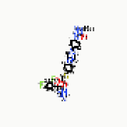 CCC(C)n1ncn(-c2ccc(N3CCN(c4ccc(SCC5OCC(Cn6cncn6)(c6ccc(F)cc6F)O5)cc4)CC3)cc2)c1=O